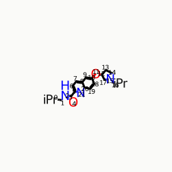 CC(C)CNC(=O)c1ccc2cc(OC3CCN(C(C)C)C3)ccc2n1